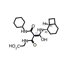 O=C(O)CNC(=O)/C(C(=O)NC1CCCCC1)=C(\O)N[C@@H]1CCCC2CC[C@H]21